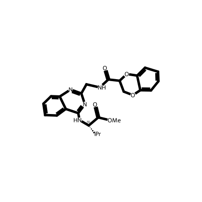 COC(=O)[C@@H](Nc1nc(CNC(=O)C2COc3ccccc3O2)nc2ccccc12)C(C)C